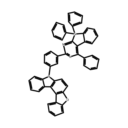 c1ccc(-c2nc(-c3cccc(-n4c5ccccc5c5c6c(ccc54)oc4ccccc46)c3)nc3c2-c2ccccc2[Si]3(c2ccccc2)c2ccccc2)cc1